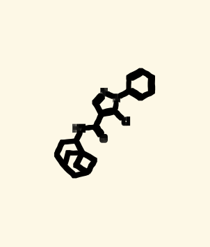 O=C(NC1CCC2CC3CC1(C2)C3)c1cnn(-c2ccccc2)c1Cl